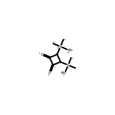 CC(C)(C)[Si](C)(C)C1C(=O)C(=O)C1[Si](C)(C)C(C)(C)C